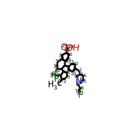 Cc1cccc(C2=C(c3ccc(CC4CCN(CCCF)C4)cc3)c3ccc(C(=O)O)cc3CCC2)c1C(F)(F)F